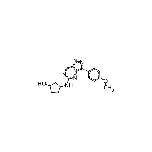 COc1ccc(-n2nnc3cnc(NC4CCC(O)C4)nc32)cc1